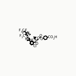 Cn1nc(C(F)(F)C(F)(F)F)c(C(F)(F)F)c1-n1cc(-c2ccc(Cl)c(C(=O)N(COC(=O)OC3CCC(C(=O)O)CC3)C3(C#N)CC3)c2)cn1